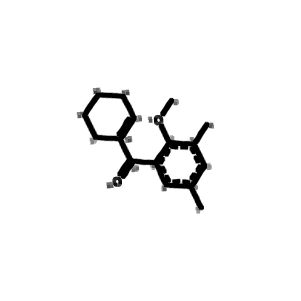 COc1c(C)cc(C)cc1C(=O)C1=CCCCC1